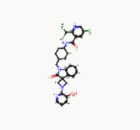 O=C(NC1CCC(CN2C(=O)C3(CN(c4ncccc4O)C3)c3ccccc32)CC1)c1cc(Cl)cnc1C(F)F